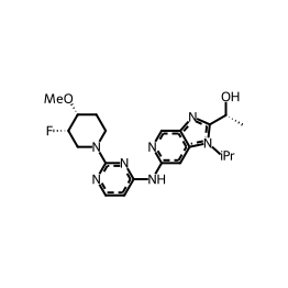 CO[C@@H]1CCN(c2nccc(Nc3cc4c(cn3)nc([C@@H](C)O)n4C(C)C)n2)C[C@@H]1F